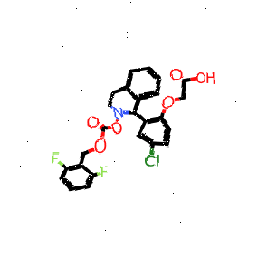 O=C(O)COc1ccc(Cl)cc1C1c2ccccc2CCN1OC(=O)OCc1c(F)cccc1F